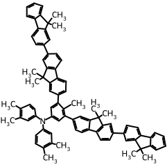 Cc1ccc(N(c2ccc(C)c(C)c2)c2cc(-c3ccc4c(c3)C(C)(C)c3cc(-c5ccc6c(c5)C(C)(C)c5ccccc5-6)ccc3-4)c(C)c(-c3ccc4c(c3)C(C)(C)c3cc(-c5ccc6c(c5)C(C)(C)c5ccccc5-6)ccc3-4)c2)cc1C